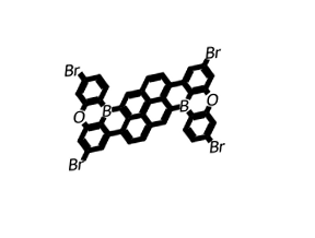 Brc1ccc2c(c1)Oc1cc(Br)cc3c1B2c1cc2ccc4c5c(cc6ccc-3c1c6c25)B1c2ccc(Br)cc2Oc2cc(Br)cc-4c21